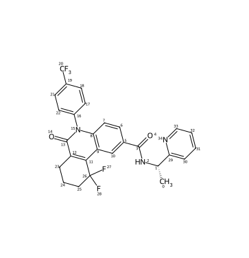 C[C@H](NC(=O)c1ccc2c(c1)c1c(c(=O)n2-c2ccc(C(F)(F)F)cc2)CCCC1(F)F)c1ccccn1